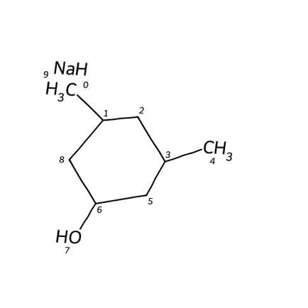 CC1CC(C)CC(O)C1.[NaH]